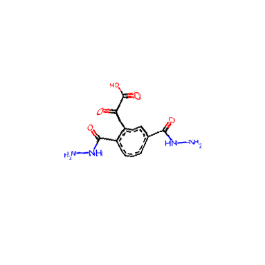 NNC(=O)c1ccc(C(=O)NN)c(C(=O)C(=O)O)c1